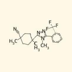 Cn1c(-c2ccccc2C(F)(F)F)nnc1C1(C)CCC(C)(C#N)CC1